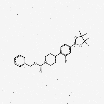 CC1(C)OB(c2ccc(C3CCN(C(=O)OCc4ccccc4)CC3)c(F)c2)OC1(C)C